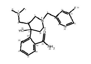 CN(C)CC1CN(Cc2cncc(F)c2)CCC1(O)c1ccccc1C(N)=O